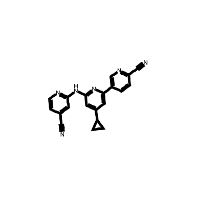 N#Cc1ccnc(Nc2cc(C3CC3)cc(-c3ccc(C#N)nc3)n2)c1